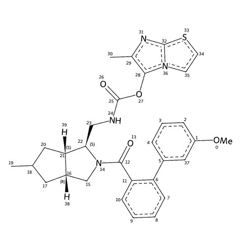 COc1cccc(-c2ccccc2C(=O)N2C[C@@H]3CC(C)C[C@@H]3[C@H]2CNC(=O)Oc2c(C)nc3sccn23)c1